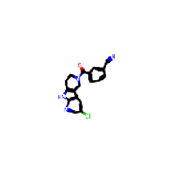 N#Cc1cccc(C(=O)N2CCc3[nH]c4ncc(Cl)cc4c3C2)c1